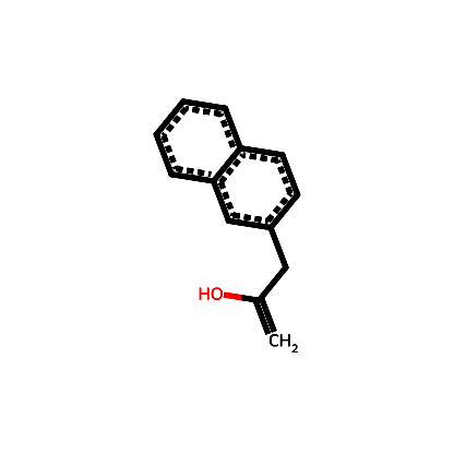 C=C(O)Cc1ccc2ccccc2c1